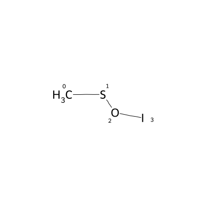 CSOI